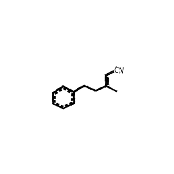 CC(=CC#N)CCc1ccccc1